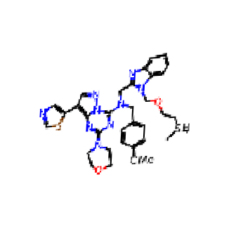 COc1ccc(CN(Cc2nc3ccccc3n2COCC[SiH](C)C)c2nc(N3CCOCC3)nc3c(-c4cncs4)cnn23)cc1